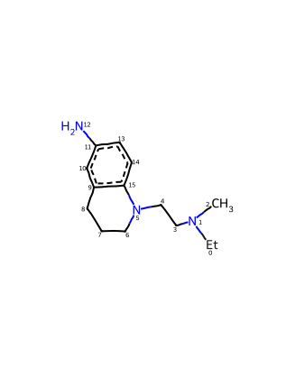 CCN(C)CCN1CCCc2cc(N)ccc21